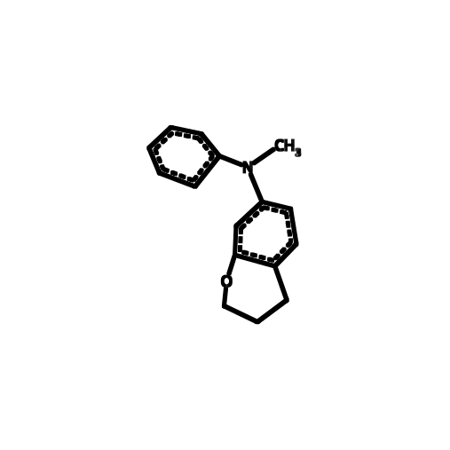 CN(c1ccccc1)c1ccc2c(c1)OCCC2